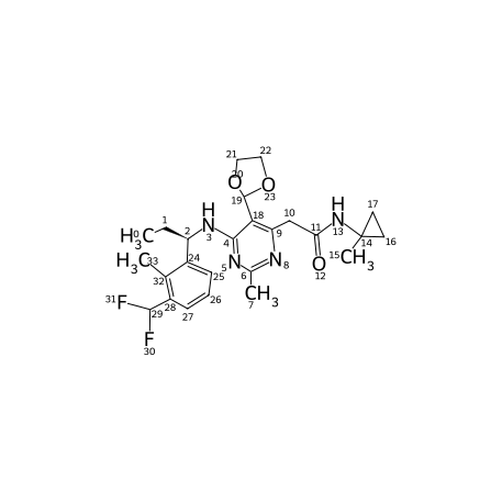 CC[C@@H](Nc1nc(C)nc(CC(=O)NC2(C)CC2)c1C1OCCO1)c1cccc(C(F)F)c1C